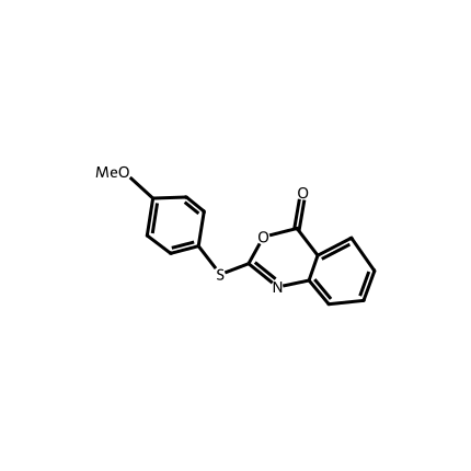 COc1ccc(Sc2nc3ccccc3c(=O)o2)cc1